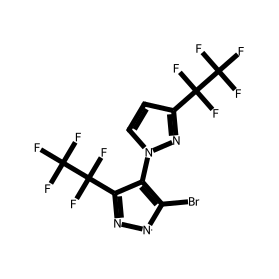 FC(F)(F)C(F)(F)C1=N[N]C(Br)=C1n1ccc(C(F)(F)C(F)(F)F)n1